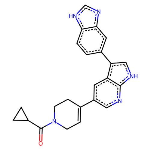 O=C(C1CC1)N1CC=C(c2cnc3[nH]cc(-c4ccc5[nH]cnc5c4)c3c2)CC1